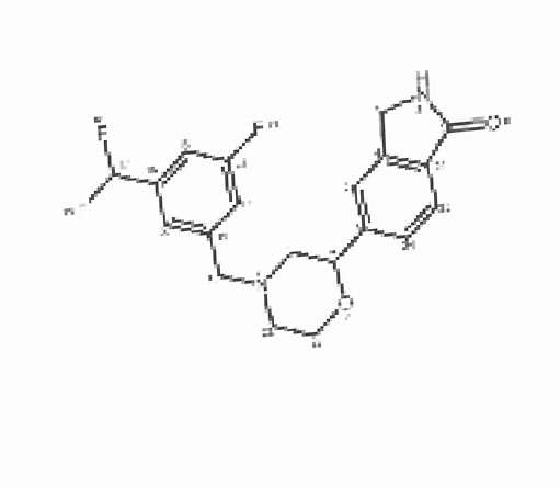 O=C1NCc2cc(C3CN(Cc4cc(F)cc(C(F)F)c4)CCO3)ccc21